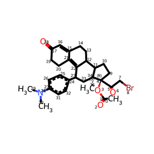 CC(=O)O[C@]1(C(=O)CBr)CCC2C3CCC4=CC(=O)CCC4=C3C(c3ccc(N(C)C)cc3)C[C@@]21C